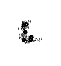 O=C(Nc1cccc(C(=O)Nc2c(O)cc(S(=O)(=O)O)c3ccccc23)c1)Nc1cccc(C(=O)Nc2c(O)cc(S(=O)(=O)O)c3ccccc23)c1